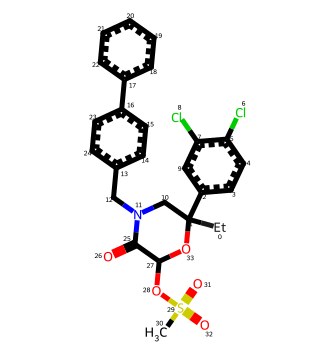 CCC1(c2ccc(Cl)c(Cl)c2)CN(Cc2ccc(-c3ccccc3)cc2)C(=O)C(OS(C)(=O)=O)O1